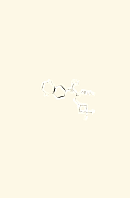 CC(=O)N[C@H](CN1CC(F)(F)C1)[C@H](O)c1ccc2c(c1)OCCO2